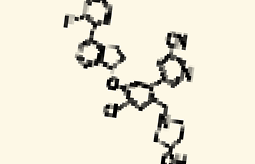 N#Cc1cncc(-c2cc(O[C@H]3CCc4c(-c5ccccc5F)cccc43)c(Cl)cc2CN2CCC(O)CC2)c1